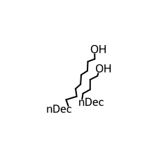 CCCCCCCCCCCCCCCCCCO.CCCCCCCCCCCCCCO